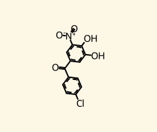 O=C(c1ccc(Cl)cc1)c1cc(O)c(O)c([N+](=O)[O-])c1